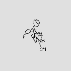 CC(C)(C)[C@H](NC(=O)c1nn(CC2CCOCC2)c2ccc(F)cc12)C(=O)NCCCO